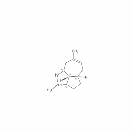 CC1=CC[C@H]2CC[C@@]3(O)C(C)O[C@@H](C1)[C@H]23